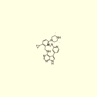 C[C@@H]1CN(c2ccc(C3CC3)c(CNc3ncnc4[nH]cc(-c5ccnc(N)c5)c34)n2)C[C@H](C)N1